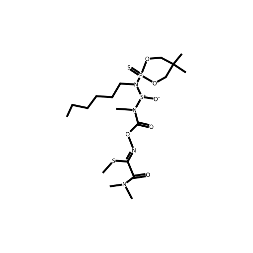 CCCCCCN([S+]([O-])N(C)C(=O)O/N=C(\SC)C(=O)N(C)C)P1(=S)OCC(C)(C)CO1